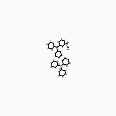 C1CCC(P(C2CCCCC2)C2CCCCC2)CC1.C1CCC(P(C2CCCCC2)C2CCCCC2)CC1.O=[C]=[Ru]